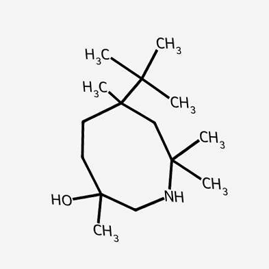 CC1(O)CCC(C)(C(C)(C)C)CC(C)(C)NC1